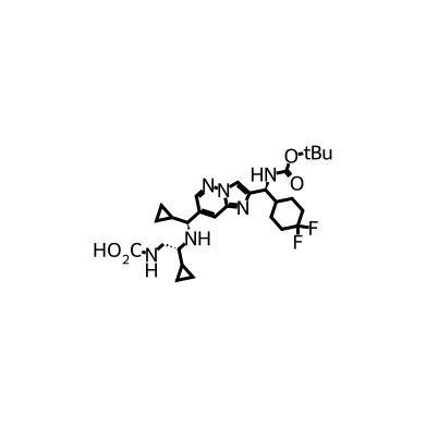 CC(C)(C)OC(=O)N[C@H](c1cn2ncc([C@H](N[C@@H](CNC(=O)O)C3CC3)C3CC3)cc2n1)C1CCC(F)(F)CC1